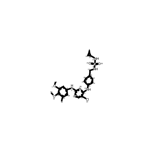 COc1cc(Nc2ncc(Cl)c(Nc3ccc(CNS(=O)(=O)NC4CC4)cc3)n2)cc(C)c1OC